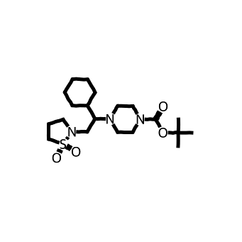 CC(C)(C)OC(=O)N1CCN(C(CN2CCCS2(=O)=O)C2CCCCC2)CC1